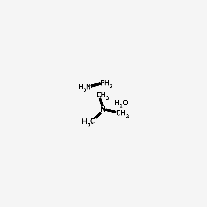 CN(C)C.NP.O